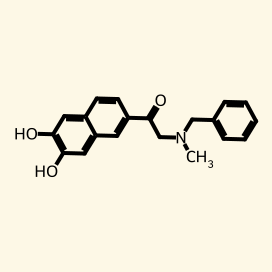 CN(CC(=O)c1ccc2cc(O)c(O)cc2c1)Cc1ccccc1